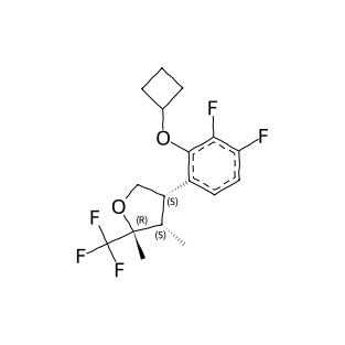 C[C@H]1[C@@H](c2ccc(F)c(F)c2OC2CCC2)CO[C@@]1(C)C(F)(F)F